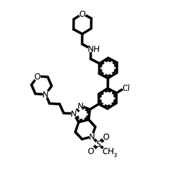 CS(=O)(=O)N1CCc2c(c(-c3ccc(Cl)c(-c4cccc(CNCC5CCOCC5)c4)c3)nn2CCCN2CCOCC2)C1